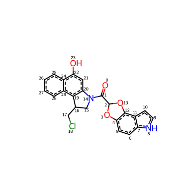 O=C(C1Oc2ccc3[nH]ccc3c2O1)N1CC(CCl)c2c1cc(O)c1ccccc21